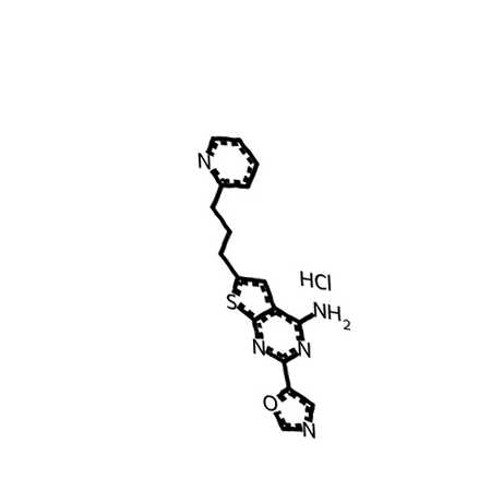 Cl.Nc1nc(-c2cnco2)nc2sc(CCCc3ccccn3)cc12